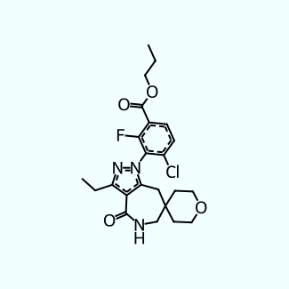 CCCOC(=O)c1ccc(Cl)c(-n2nc(CC)c3c2CC2(CCOCC2)CNC3=O)c1F